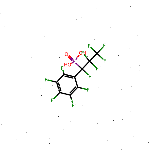 O=P(O)(O)C(F)(c1c(F)c(F)c(F)c(F)c1F)C(F)(F)C(F)(F)F